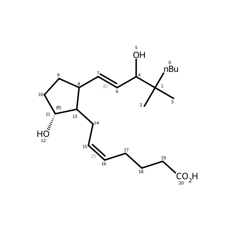 CCCCC(C)(C)C(O)/C=C/C1CC[C@@H](O)C1C/C=C\CCCC(=O)O